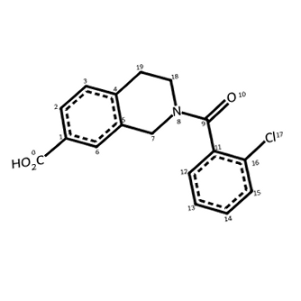 O=C(O)c1ccc2c(c1)CN(C(=O)c1ccccc1Cl)CC2